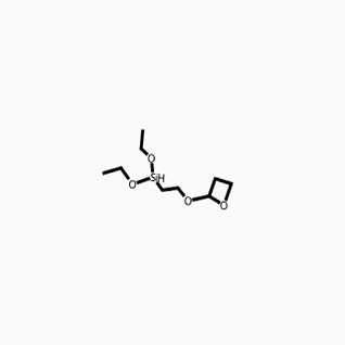 CCO[SiH](CCOC1CCO1)OCC